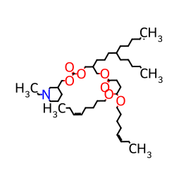 C[CH]CCCC(CCCCC)CCCC(COC(=O)CCC(OCCCC/C=C\CC)OCCCC/C=C\CC)COC(=O)OCC1CCCN(CC)C1